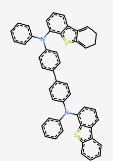 C1=c2sc3c(N(c4ccccc4)c4ccc(-c5ccc(N(c6ccccc6)c6cccc7c6sc6ccccc67)cc5)cc4)cccc3c2=CCC1